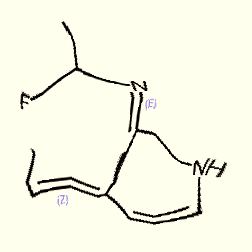 C/C=C1/C=CN/C1=N/C(C)F